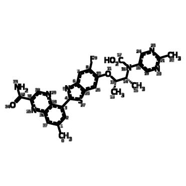 Cc1cc(-c2nc3cc(F)c(O[C@@H](C)[C@@H](C)N(C(=O)O)c4cnc(C)nc4)cc3s2)c2ncc(C(N)=O)nc2c1